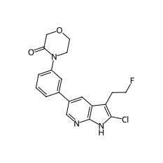 O=C1COCCN1c1cccc(-c2cnc3[nH]c(Cl)c(CCF)c3c2)c1